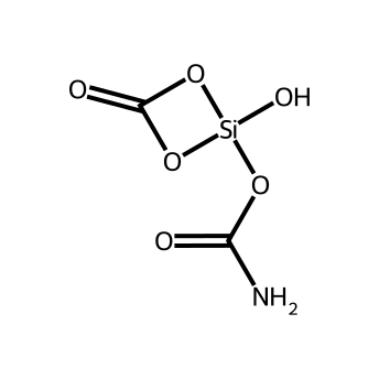 NC(=O)O[Si]1(O)OC(=O)O1